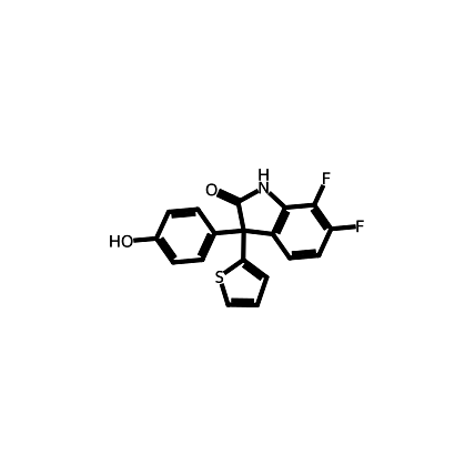 O=C1Nc2c(ccc(F)c2F)C1(c1ccc(O)cc1)c1cccs1